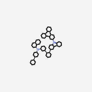 c1ccc(-c2ccc(N(c3cccc(-c4ccccc4-c4ccc5c(c4)c4ccccc4n5-c4ccc5c6ccccc6c6ccccc6c5c4)c3)c3cccc4ccccc34)cc2)cc1